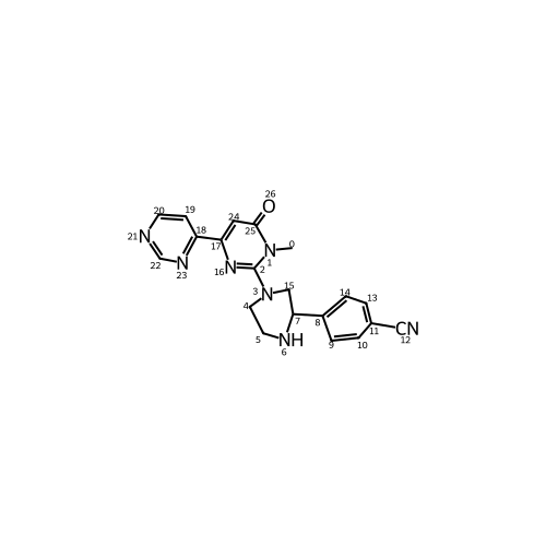 Cn1c(N2CCNC(c3ccc(C#N)cc3)C2)nc(-c2ccncn2)cc1=O